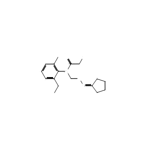 CCc1cccc(C)c1N(CON=C1CCCC1)C(=O)CCl